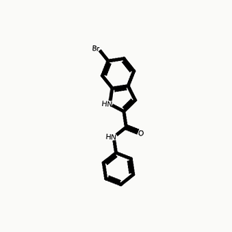 O=C(Nc1ccccc1)c1cc2ccc(Br)cc2[nH]1